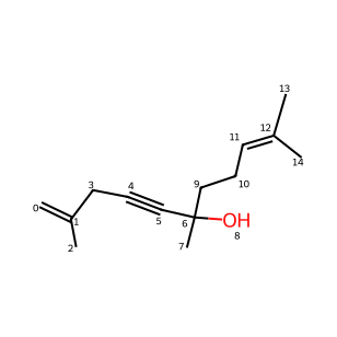 C=C(C)CC#CC(C)(O)CCC=C(C)C